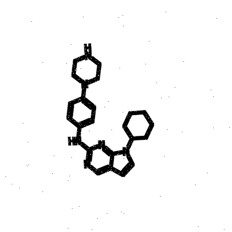 c1cc(N2CCNCC2)ccc1Nc1ncc2ccn(C3CCCCC3)c2n1